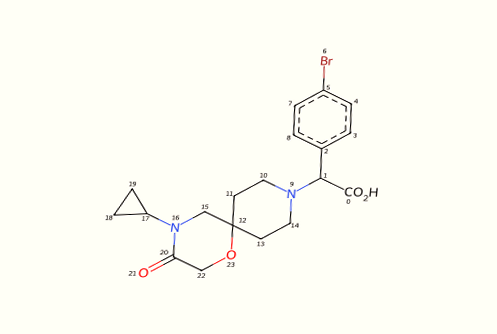 O=C(O)C(c1ccc(Br)cc1)N1CCC2(CC1)CN(C1CC1)C(=O)CO2